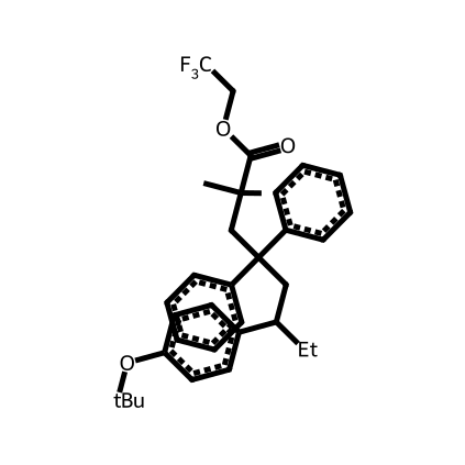 CCC(CC(CC(C)(C)C(=O)OCC(F)(F)F)(c1ccccc1)c1ccccc1)c1ccc(OC(C)(C)C)cc1